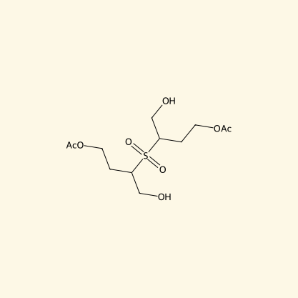 CC(=O)OCCC(CO)S(=O)(=O)C(CO)CCOC(C)=O